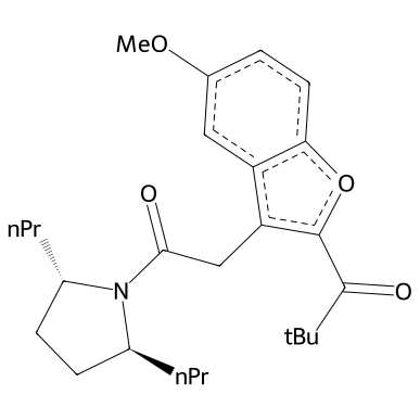 CCC[C@H]1CC[C@H](CCC)N1C(=O)Cc1c(C(=O)C(C)(C)C)oc2ccc(OC)cc12